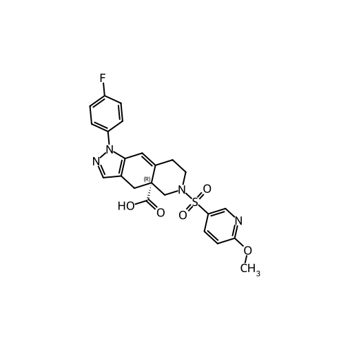 COc1ccc(S(=O)(=O)N2CCC3=Cc4c(cnn4-c4ccc(F)cc4)C[C@]3(C(=O)O)C2)cn1